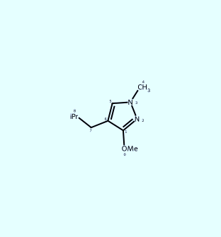 COc1nn(C)cc1CC(C)C